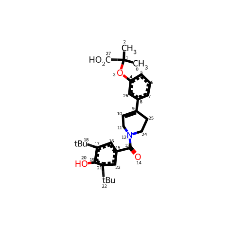 CC(C)(Oc1cccc(C2=CCN(C(=O)c3cc(C(C)(C)C)c(O)c(C(C)(C)C)c3)CC2)c1)C(=O)O